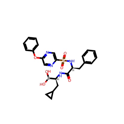 O=C(N[C@@H](CC1CC1)B(O)O)[C@H](Cc1ccccc1)NS(=O)(=O)c1cnc(Oc2ccccc2)cn1